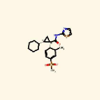 CC1C=C(S(C)(=O)=O)C=CC1[C@@]1(C(=O)Nc2nccs2)C[C@H]1C1CCCCC1